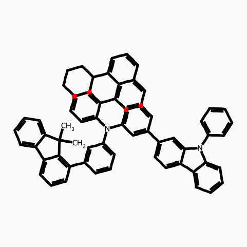 CC1(C)c2ccccc2-c2cccc(-c3cccc(N(c4cccc(-c5ccc6c7ccccc7n(-c7ccccc7)c6c5)c4)c4ccccc4-c4cccc5cccc(C6CCCCC6)c45)c3)c21